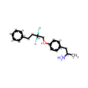 CC(N)Cc1ccc(OCC(F)(F)CCc2ccccc2)cc1